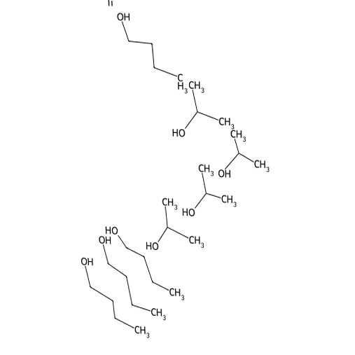 CC(C)O.CC(C)O.CC(C)O.CC(C)O.CCCCO.CCCCO.CCCCO.CCCCO.[Ti]